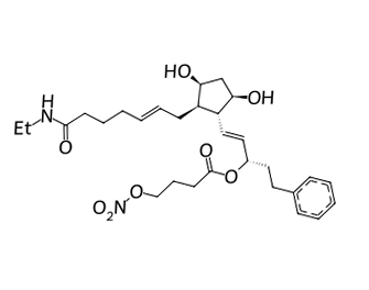 CCNC(=O)CCCC=CC[C@@H]1[C@@H](C=C[C@H](CCc2ccccc2)OC(=O)CCCO[N+](=O)[O-])[C@H](O)C[C@@H]1O